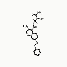 CC(C)N(C(N)=O)C(C)(C)CNc1c(N)cnc2cc(OCc3ccccc3)ccc12